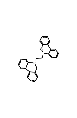 c1ccc2c(c1)C[P@@](CC[P@@]1Oc3ccccc3-c3ccccc31)c1ccccc1-2